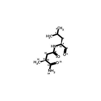 CC(C)C[C@@H](C=O)NC(=O)[CH][C@H](C)C(N)=O